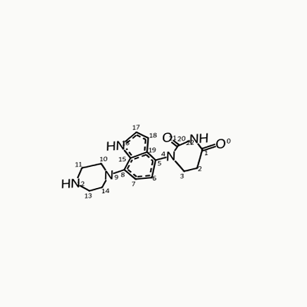 O=C1CCN(c2ccc(N3CCNCC3)c3[nH]ccc23)C(=O)N1